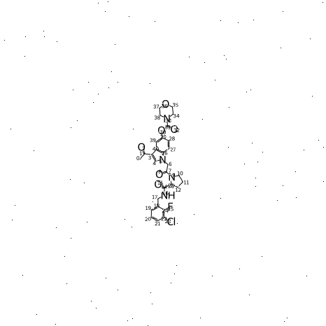 CC(=O)c1cn(CC(=O)N2CCC[C@H]2C(=O)NCc2cccc(Cl)c2F)c2ccc(OC(=O)N3CCOCC3)cc12